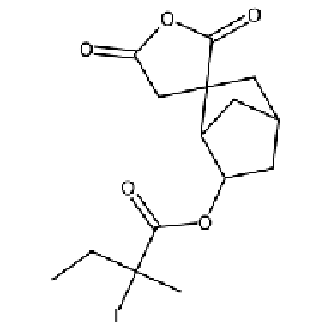 CCC(C)(I)C(=O)OC1CC2CC1C1(CC(=O)OC1=O)C2